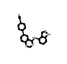 N#Cc1ccc(-c2ccc3ncnc(Nc4cccc5[nH]ncc45)c3c2)cc1